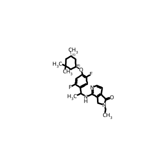 CCN1Cc2c(ccnc2NC(C)c2cc(F)c(O[C@@H]3C[C@@H](C)CC(C)(C)C3)cc2F)C1=O